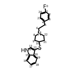 Fc1ccc(CCN2CCC(Sc3c[nH]c4ccccc34)CC2)cc1